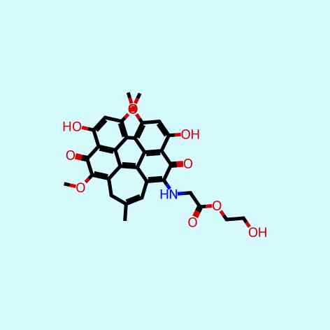 COc1c2c3c4c(c(NCC(=O)OCCO)c(=O)c5c(O)cc(OC)c(c6c(OC)cc(O)c(c1=O)c63)c54)C=C(C)C2